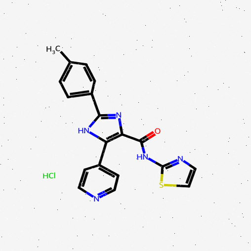 Cc1ccc(-c2nc(C(=O)Nc3nccs3)c(-c3ccncc3)[nH]2)cc1.Cl